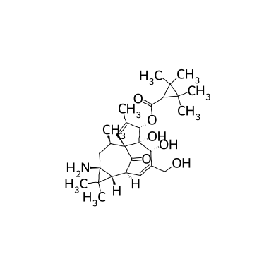 CC1=C[C@]23C(=O)[C@@H](C=C(CO)[C@@H](O)[C@]2(O)[C@H]1OC(=O)C1C(C)(C)C1(C)C)[C@@H]1C(C)(C)[C@]1(N)C[C@H]3C